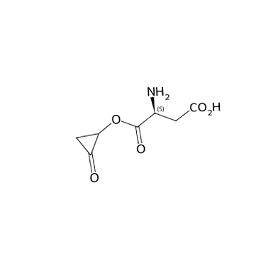 N[C@@H](CC(=O)O)C(=O)OC1CC1=O